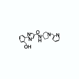 O=C(NC1CCN(Cc2ccccn2)CC1)c1cnc(-c2ccccc2CO)nc1